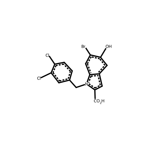 O=C(O)c1cc2cc(O)c(Br)cc2n1Cc1ccc(Cl)c(Cl)c1